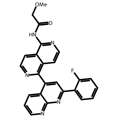 COCC(=O)Nc1nccc2c(-c3cc(-c4ccccc4F)nc4ncccc34)nccc12